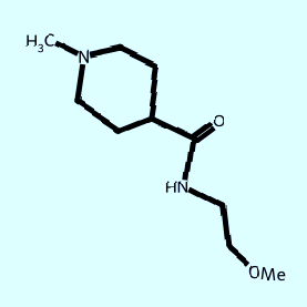 COCCNC(=O)C1CCN(C)CC1